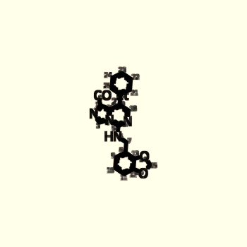 CCOC(=O)c1ncn2c(NCc3cccc4c3OCO4)ncc(-c3ccccc3)c12